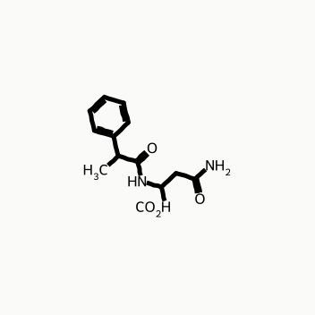 CC(C(=O)NC(CC(N)=O)C(=O)O)c1ccccc1